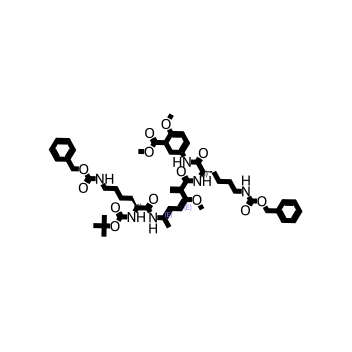 C=C(C(=O)N[C@@H](CCCCNC(=O)OCc1ccccc1)C(=O)NC1=CC=C(OC)C(C(=O)OC)C1)/C(=C\C=C(/C)NC(=O)[C@H](CCCCNC(=O)OCc1ccccc1)NC(=O)OC(C)(C)C)OC